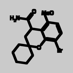 COc1ccc(Br)c2c1C(C(N)=O)CC1(CCCCC1)O2